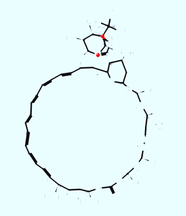 C[C@@H]1[C@H](O)[C@@H](C)/C=C/C=C/C=C/C=C/C=C/C=C/C=C/[C@H](O[C@@H]2O[C@H](C)[C@@H](O)[C@H](N)[C@@H]2O)C[C@@H]2O[C@](O)(C[C@@H](O)C[C@@H](O)[C@H](O)CC[C@@H](O)C[C@@H](O)CC(=O)O[C@H]1C)C[C@H](O)[C@H]2C(=O)NCC(C)(C)O